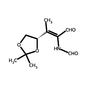 C/C(=C(\C=O)NC=O)[C@H]1COC(C)(C)O1